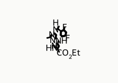 CCOC(=O)c1cc(Nc2cc(NC(C)c3ccc(F)cc3F)nc(C)n2)n[nH]1